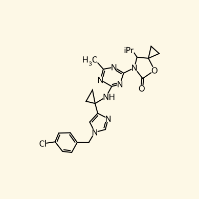 Cc1nc(NC2(c3cn(Cc4ccc(Cl)cc4)cn3)CC2)nc(N2C(=O)OC3(CC3)C2C(C)C)n1